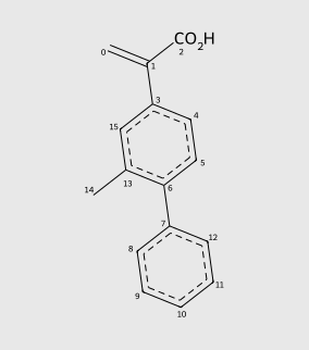 C=C(C(=O)O)c1ccc(-c2ccccc2)c(C)c1